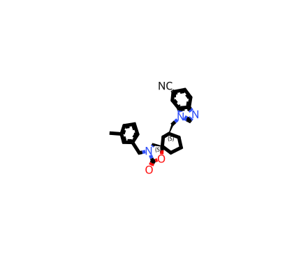 Cc1cccc(CN2C[C@@]3(CCC[C@H](Cn4cnc5ccc(C#N)cc54)C3)OC2=O)c1